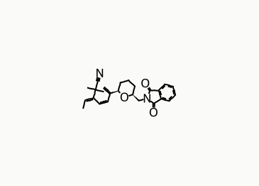 C=C(/C=C\C(=C/C)C(C)(C)C#N)[C@H]1CCC[C@@H](CN2C(=O)c3ccccc3C2=O)O1